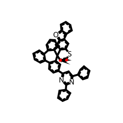 c1ccc(-c2cc(-c3ccc4c(c3)C3(c5ccccc5Sc5cc6c(cc53)oc3ccccc36)c3ccccc3-c3ccccc3-4)nc(-c3ccccc3)n2)cc1